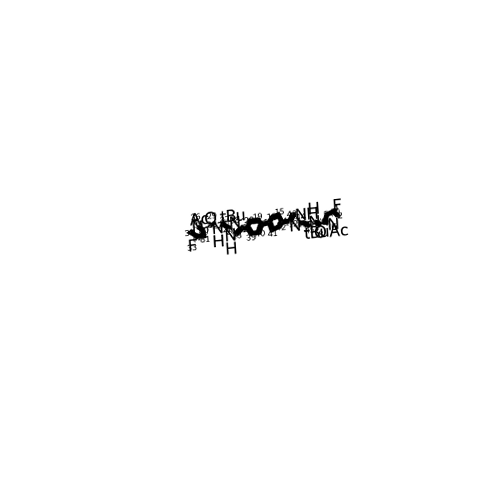 CC(=O)N1C[C@H](F)C[C@H]1C(=O)N[C@H](c1nc(-c2ccc(-c3ccc(-c4c[nH]c([C@@H](NC(=O)[C@@H]5C[C@@H](F)CN5C(C)=O)C(C)(C)C)n4)cc3)cc2)c[nH]1)C(C)(C)C